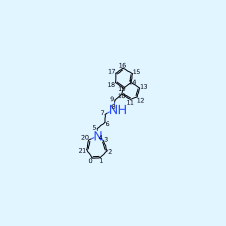 C1=CC=CN(CCCNCc2cccc3ccccc23)C=C1